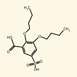 CCCCOc1cc(S(=O)(=O)O)cc(C(=O)O)c1OCCCC